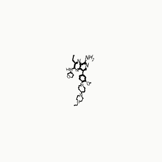 CCc1nc2c(N)ncc(-c3ccc(N4CCC(N5CCN(CC)CC5)CC4)c(OC)c3)c2nc1N[C@H]1CCOC1